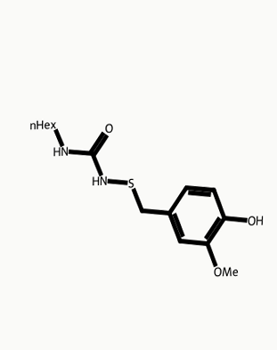 CCCCCCNC(=O)NSCc1ccc(O)c(OC)c1